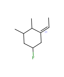 C/C=C1/CC(F)CC(C)C1C